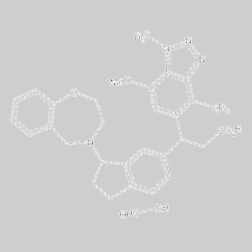 COc1cc(C(CC(=O)O)c2ccc3c(c2)C(N2CCOc4ccccc4C2)CC3)c(C)c2nnn(C)c12.O=CO